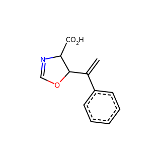 C=C(c1ccccc1)C1OC=NC1C(=O)O